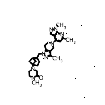 Cc1cc(N2CCc3c(c(C)nn3CC3=C4CC(N5CCN(C)C(=O)C5)(CC3)C4)C2)c2cnn(C)c2n1